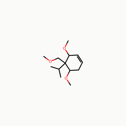 COCC1(C(C)C)C(OC)C=CCC1OC